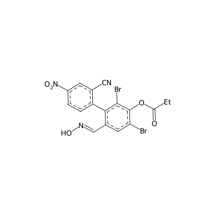 CCC(=O)Oc1c(Br)cc(C=NO)c(-c2ccc([N+](=O)[O-])cc2C#N)c1Br